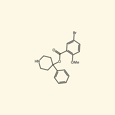 COc1ccc(Br)cc1C(=O)OC1(c2ccccc2)CCNCC1